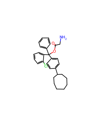 NCC(=O)OC(c1ccccc1)(c1ccc(C2CCCCCCC2)cc1)c1ccccc1Cl